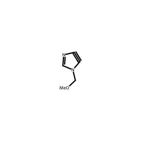 COCn1c#cnc1